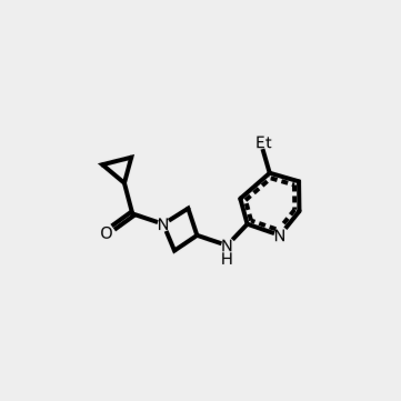 CCc1ccnc(NC2CN(C(=O)C3CC3)C2)c1